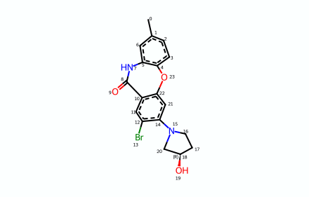 Cc1ccc2c(c1)NC(=O)c1cc(Br)c(N3CC[C@@H](O)C3)cc1O2